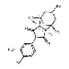 Cc1cc(N2C(=O)[C@@H]3[C@H](C2=O)[C@@]2(C)CN(C(C)(C)C)C[C@]3(C)O2)ccc1C#N